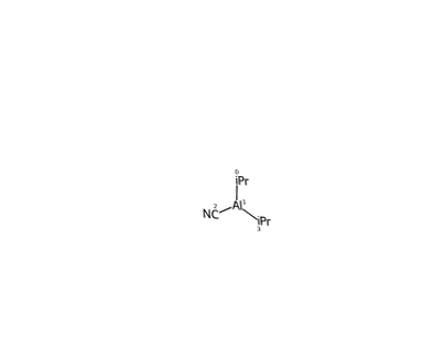 C[CH](C)[Al]([C]#N)[CH](C)C